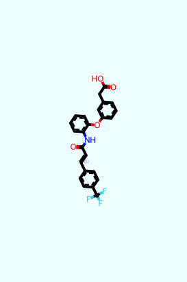 O=C(O)Cc1cccc(Oc2ccccc2NC(=O)/C=C/c2ccc(C(F)(F)F)cc2)c1